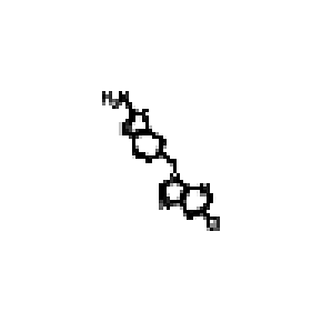 Nc1nc2ccc(Cn3cnc4cc(Cl)cnc43)cc2s1